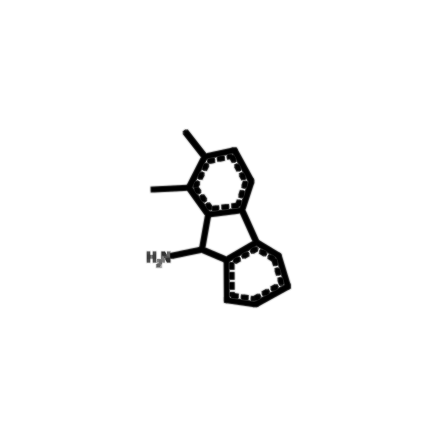 Cc1ccc2c(c1C)C(N)c1ccccc1-2